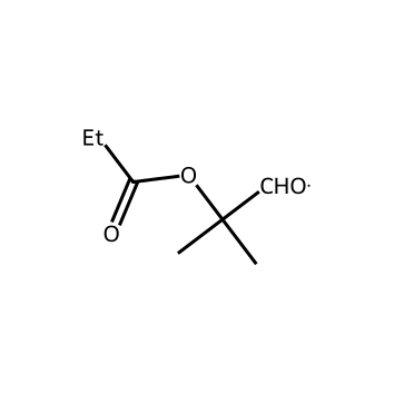 CCC(=O)OC(C)(C)[C]=O